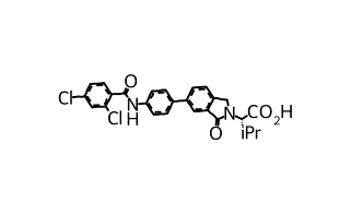 CC(C)[C@@H](C(=O)O)N1Cc2ccc(-c3ccc(NC(=O)c4ccc(Cl)cc4Cl)cc3)cc2C1=O